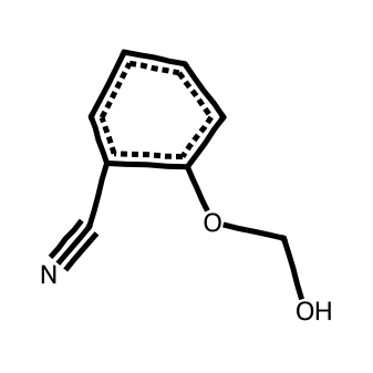 N#Cc1ccccc1OCO